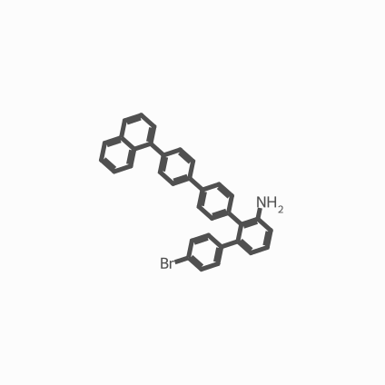 Nc1cccc(-c2ccc(Br)cc2)c1-c1ccc(-c2ccc(-c3cccc4ccccc34)cc2)cc1